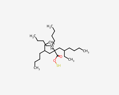 CCCCC(CC)C[C](CC(CC)CCCC)(C(=O)OS)[SnH]([CH2]CCC)[CH2]CCC